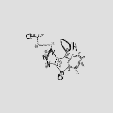 O=C1c2ccccc2C(O)C2C1N=NN2CCCCl